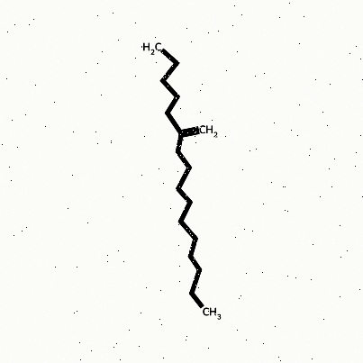 [CH2]CCCCC(=C)CCCCCCCCCC